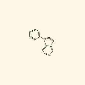 [C]1=C=C(c2ccccc2)c2ccccc21